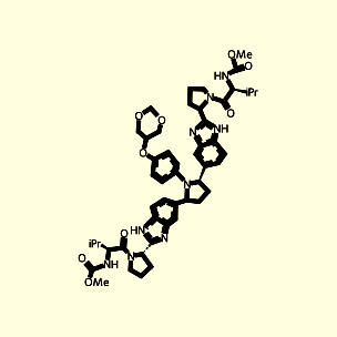 COC(=O)N[C@H](C(=O)N1CCCC1c1nc2cc([C@H]3CCC(c4ccc5[nH]c([C@@H]6CCCN6C(=O)[C@@H](NC(=O)OC)C(C)C)nc5c4)N3c3ccc(OC4COCOC4)cc3)ccc2[nH]1)C(C)C